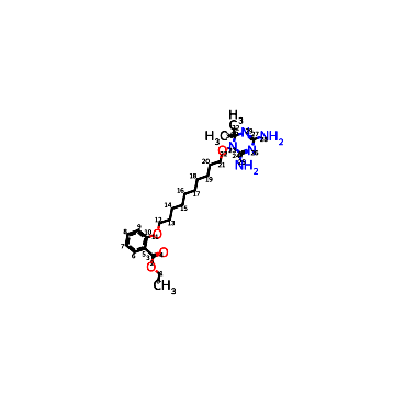 CCOC(=O)c1ccccc1OCCCCCCCCCCON1C(N)=NC(N)=NC1(C)C